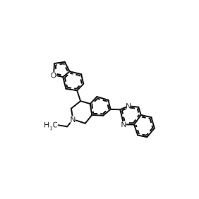 CCN1Cc2cc(-c3ncc4ccccc4n3)ccc2C(c2ccc3ccoc3c2)C1